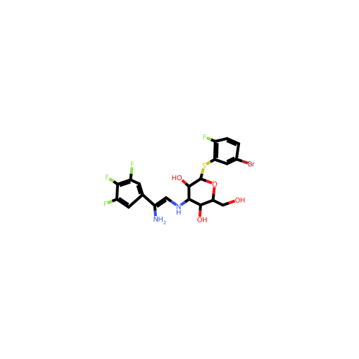 N/C(=C\NC1C(O)C(CO)OC(Sc2cc(Br)ccc2F)C1O)c1cc(F)c(F)c(F)c1